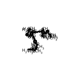 C=CCOC(=O)NC(C(=O)NC(C)C(=O)Nc1ccc(COC(=O)Nc2cc(OCCCCCOc3cc(OC(N)=O)c(C(=O)N4CCC[C@H]4CO[Si](C)(C)C(C)(C)C)cc3OC)c(O)cc2C(=O)N2CCC[C@H]2CO[Si](C)(C)C(C)(C)C)cc1)C(C)C